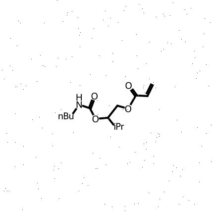 C=CC(=O)OCC(OC(=O)NCCCC)C(C)C